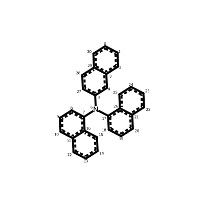 c1ccc2cc(N(c3cccc4ccccc34)c3cccc4ccccc34)ccc2c1